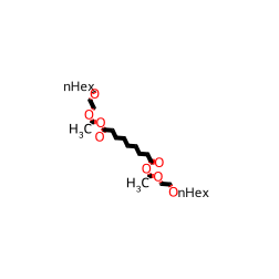 CCCCCCOCCOC(C)OC(=O)CCCCCCCC(=O)OC(C)OCCOCCCCCC